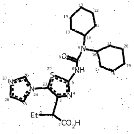 CCC(C(=O)O)c1nc(NC(=O)N(C2CCCCC2)C2CCCCC2)sc1-n1ccnc1